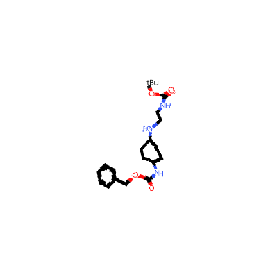 CC(C)(C)OC(=O)NCCNC1CCC(NC(=O)OCc2ccccc2)CC1